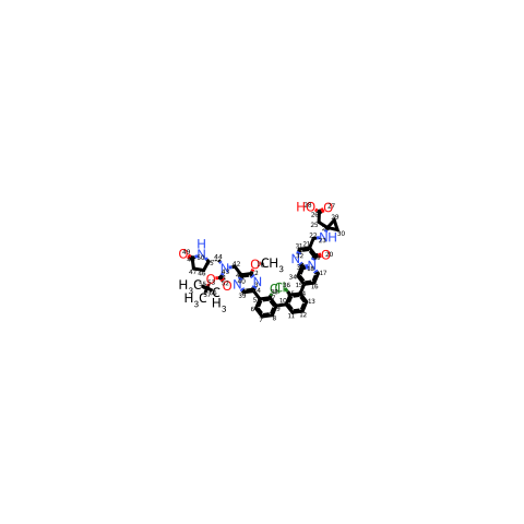 COc1nc(-c2cccc(-c3cccc(-c4ccn5c(=O)c(CNC6(CC(=O)O)CC6)cnc5c4)c3Cl)c2Cl)cnc1CN(C[C@@H]1CCC(=O)N1)C(=O)OC(C)(C)C